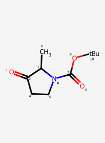 CC1C(=O)CCN1C(=O)OC(C)(C)C